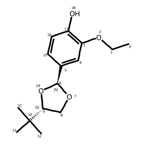 CCOc1cc([C@H]2OC[C@H](C(C)(C)C)O2)ccc1O